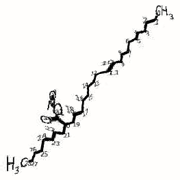 CCCCCCCCCCCCCCCCCCCCC(CCCCCCCC)C(=O)ON=O